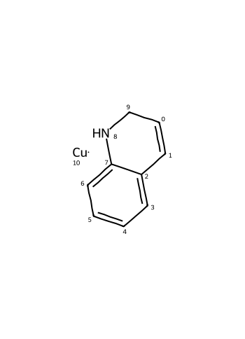 C1=Cc2ccccc2NC1.[Cu]